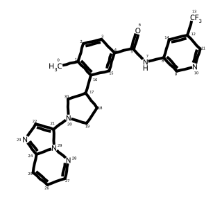 Cc1ccc(C(=O)Nc2cncc(C(F)(F)F)c2)cc1C1CCN(c2cnc3cccnn23)C1